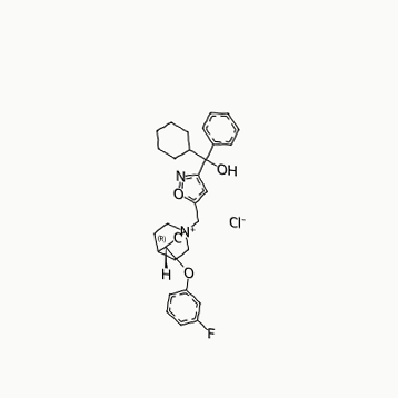 OC(c1ccccc1)(c1cc(C[N+]23CCC(CC2)[C@@H](Oc2cccc(F)c2)C3)on1)C1CCCCC1.[Cl-]